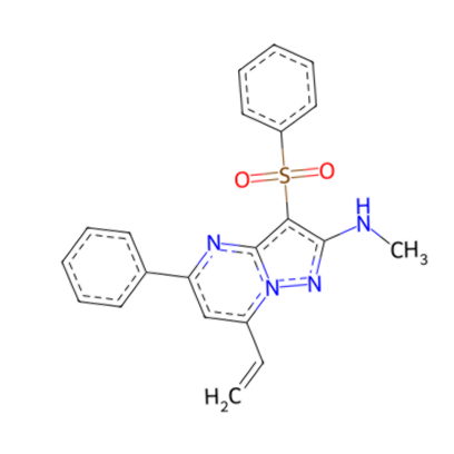 C=Cc1cc(-c2ccccc2)nc2c(S(=O)(=O)c3ccccc3)c(NC)nn12